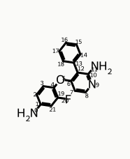 Nc1ccc(Oc2ccnc(N)c2-c2ccccc2)c(F)c1